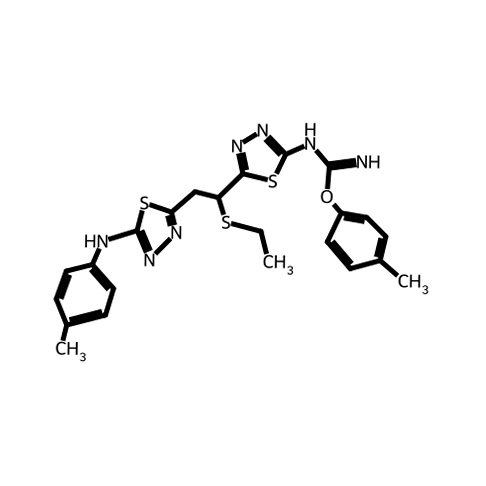 CCSC(Cc1nnc(Nc2ccc(C)cc2)s1)c1nnc(NC(=N)Oc2ccc(C)cc2)s1